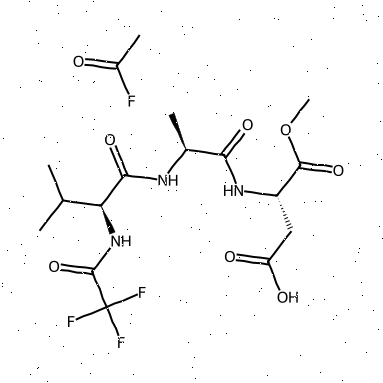 CC(=O)F.COC(=O)[C@H](CC(=O)O)NC(=O)[C@H](C)NC(=O)[C@@H](NC(=O)C(F)(F)F)C(C)C